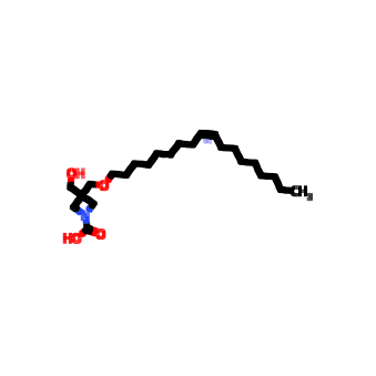 CCCCCCCC/C=C\CCCCCCCCOCC1(CO)CN(C(=O)O)C1